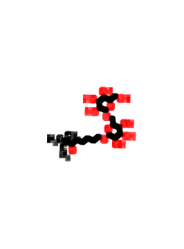 CC(C)(C)C(=O)CCCCCO[C@H]1OC(CO[C@H]2OC(CO)[C@@H](O)[C@H](O)C2O)[C@@H](O)[C@H](O)C1O